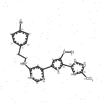 CCOc1cc(-c2cc(NCCc3ccc(Br)cc3)ncn2)sc1-c1noc(C(Cl)(Cl)Cl)n1